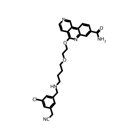 N#CCc1cc(Cl)cc(CNCCCCOCCOc2nc3cc(C(N)=O)ccc3c3cnccc23)c1